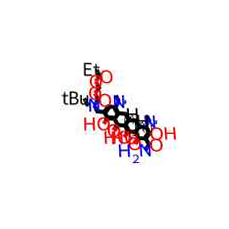 CCC(=O)OCOC(=O)N(Cc1cc(N(C)C)c2c(c1O)C(=O)C1=C(O)[C@]3(O)C(=O)C(C(N)=O)=C(O)[C@@H](N(C)C)[C@@H]3C[C@@H]1C2)CC(C)(C)C